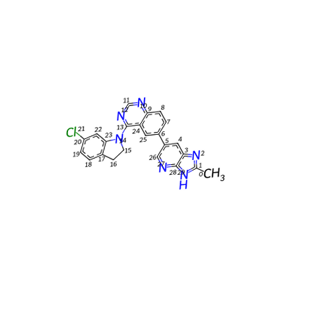 Cc1nc2cc(-c3ccc4ncnc(N5CCc6ccc(Cl)cc65)c4c3)cnc2[nH]1